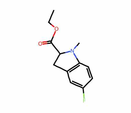 CCOC(=O)C1Cc2cc(F)ccc2N1C